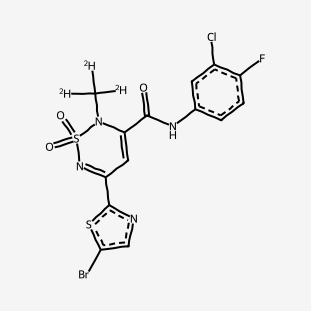 [2H]C([2H])([2H])N1C(C(=O)Nc2ccc(F)c(Cl)c2)=CC(c2ncc(Br)s2)=NS1(=O)=O